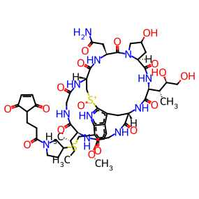 CC[C@H](C)[C@@H]1NC(=O)CNC(=O)[C@@H]2Cc3c([nH]c4c(CSC5CCN(C(=O)CCC6C(=O)C=CC6=O)C5)c(OC)ccc34)[S+]([O-])C[C@H](NC(=O)CNC1=O)C(=O)N[C@@H](CC(N)=O)C(=O)N1CC(O)C[C@H]1C(=O)N[C@@H]([C@@H](C)[C@@H](O)CO)C(=O)N2